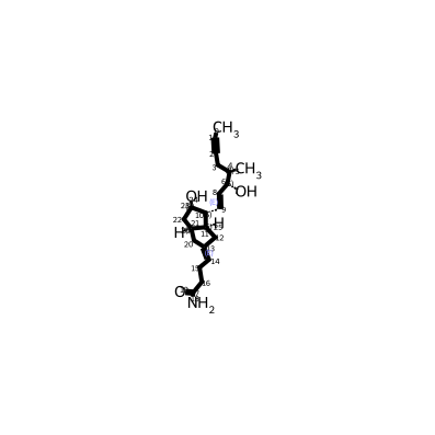 CC#CC[C@@H](C)[C@H](O)/C=C/[C@@H]1[C@H]2C/C(=C/CCC(N)=O)C[C@H]2C[C@H]1O